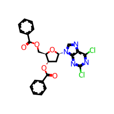 O=C(OC[C@H]1O[C@H](n2cnc3c(Cl)nc(Cl)nc32)C[C@@H]1OC(=O)c1ccccc1)c1ccccc1